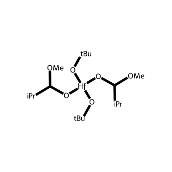 COC([O][Hf]([O]C(OC)C(C)C)([O]C(C)(C)C)[O]C(C)(C)C)C(C)C